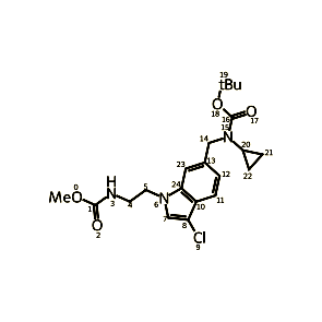 COC(=O)NCCn1cc(Cl)c2ccc(CN(C(=O)OC(C)(C)C)C3CC3)cc21